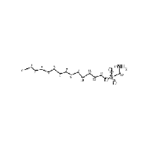 CCCCCCCCCCCCCCOS(=O)(=O)CN